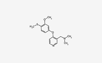 COc1cc(Oc2ccncc2CN(C)C)ccc1SC